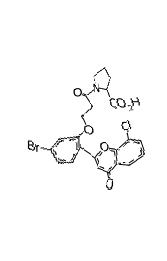 O=C(O)C1CCCN1C(=O)CCOc1cc(Br)ccc1-c1cc(=O)c2cccc(Cl)c2o1